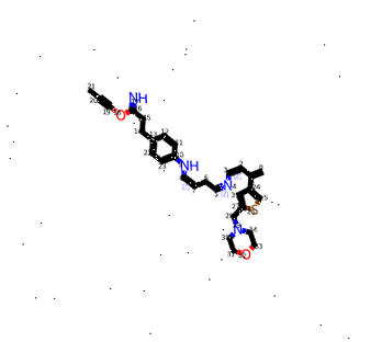 C=C(/C=C\N=C/C/C=C\Nc1ccc(CCC(=N)OC#CC)cc1)c1csc(CN2CCOCC2)c1